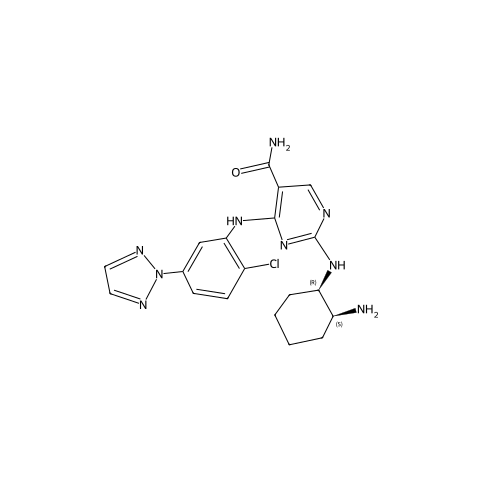 NC(=O)c1cnc(N[C@@H]2CCCC[C@@H]2N)nc1Nc1cc(-n2nccn2)ccc1Cl